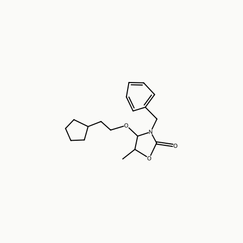 CC1OC(=O)N(Cc2ccccc2)C1OCCC1CCCC1